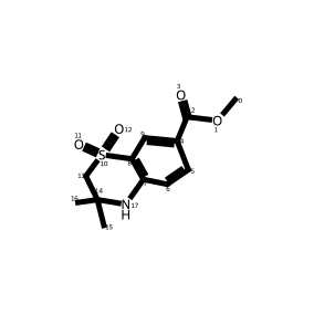 COC(=O)c1ccc2c(c1)S(=O)(=O)CC(C)(C)N2